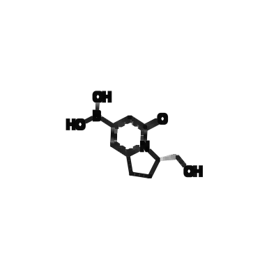 O=c1cc(B(O)O)cc2n1[C@H](CO)CC2